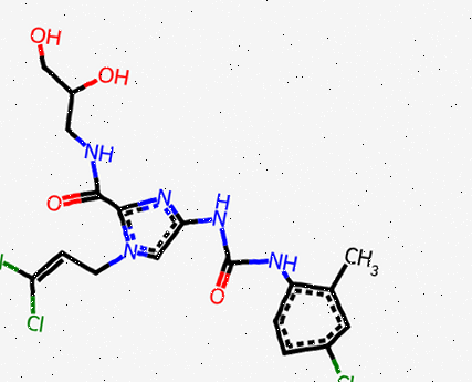 Cc1cc(Cl)ccc1NC(=O)Nc1cn(CC=C(Cl)Cl)c(C(=O)NCC(O)CO)n1